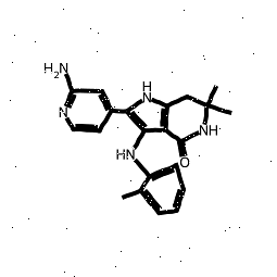 Cc1ccccc1Nc1c(-c2ccnc(N)c2)[nH]c2c1C(=O)NC(C)(C)C2